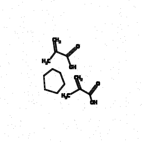 C1CCCCC1.C=C(C)C(=O)O.C=C(C)C(=O)O